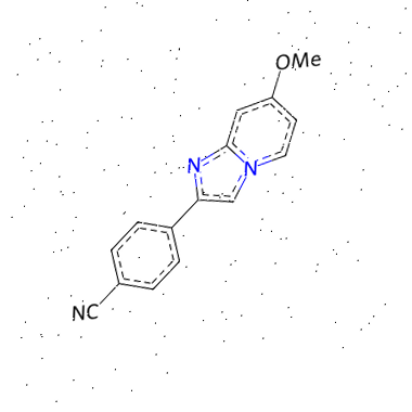 COc1ccn2cc(-c3ccc(C#N)cc3)nc2c1